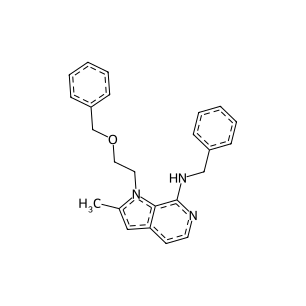 Cc1cc2ccnc(NCc3ccccc3)c2n1CCOCc1ccccc1